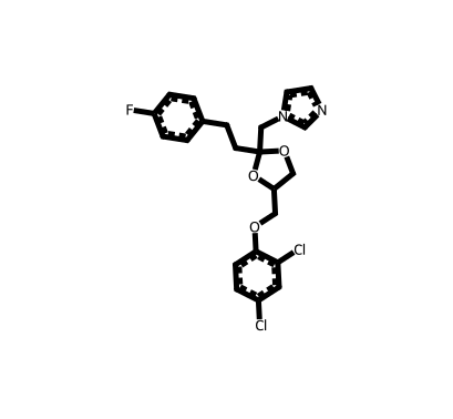 Fc1ccc(CCC2(Cn3ccnc3)OCC(COc3ccc(Cl)cc3Cl)O2)cc1